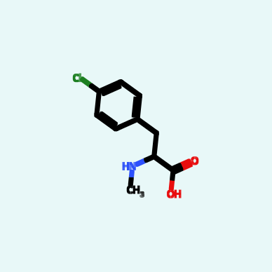 CNC(Cc1ccc(Cl)cc1)C(=O)O